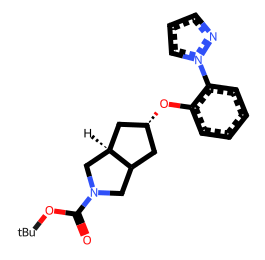 CC(C)(C)OC(=O)N1CC2C[C@@H](Oc3ccccc3-n3cccn3)C[C@@H]2C1